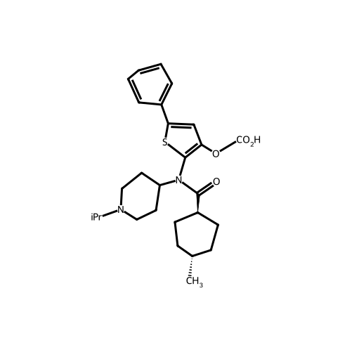 CC(C)N1CCC(N(c2sc(-c3ccccc3)cc2OC(=O)O)C(=O)[C@H]2CC[C@H](C)CC2)CC1